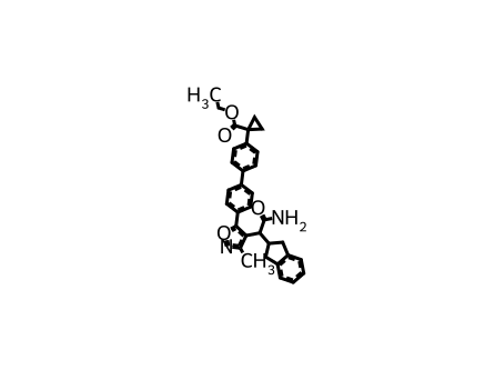 CCOC(=O)C1(c2ccc(-c3ccc(-c4onc(C)c4C(C(N)=O)C4Cc5ccccc5C4)cc3)cc2)CC1